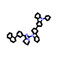 c1ccc(-n2c3ccccc3c3cc(-c4ccc5c(c4)c4ccccc4n5-c4nc(-c5cccc(-c6cccc7ccccc67)c5)c5ccccn45)ccc32)cc1